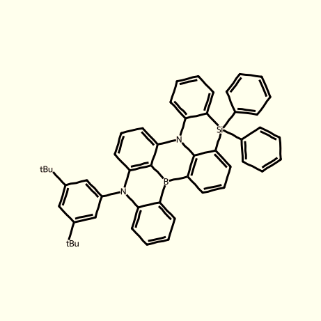 CC(C)(C)c1cc(N2c3ccccc3B3c4cccc5c4N(c4ccccc4[Si]5(c4ccccc4)c4ccccc4)c4cccc2c43)cc(C(C)(C)C)c1